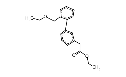 CCOCc1ccccc1-c1cccc(CC(=O)OCC)c1